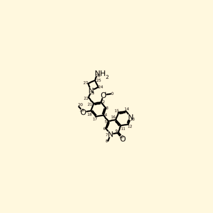 COc1cc(-c2cn(C)c(=O)c3cnccc23)cc(OC)c1CN1CC(N)C1